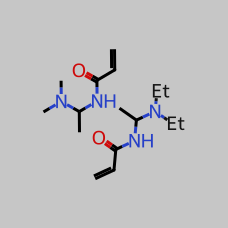 C=CC(=O)NC(C)N(C)C.C=CC(=O)NC(C)N(CC)CC